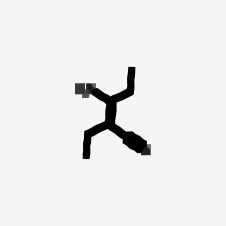 CCC(N)=C(C#N)CC